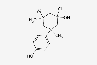 CC1(C)CC(C)(O)CC(C)(c2ccc(O)cc2)C1